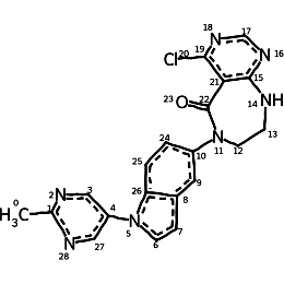 Cc1ncc(-n2ccc3cc(N4CCNc5ncnc(Cl)c5C4=O)ccc32)cn1